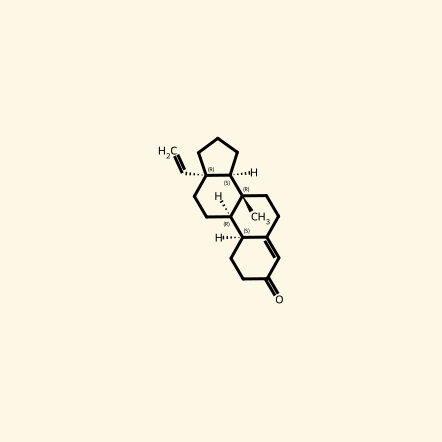 C=C[C@]12CCC[C@H]1[C@]1(C)CCC3=CC(=O)CC[C@H]3[C@H]1CC2